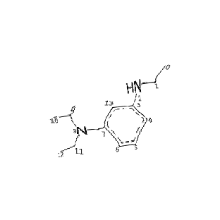 CCNc1cccc(N(CC)CC)c1